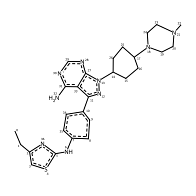 CCc1csc(Nc2ccc(-c3nn(C4CCC(N5CCN(C)CC5)CC4)c4ncnc(N)c34)cc2)n1